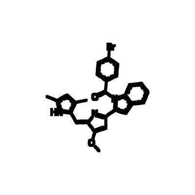 COC1=CC(c2cc3ccccc3n2C(=O)c2ccc(Br)cc2)=N/C1=C\c1[nH]c(C)cc1C